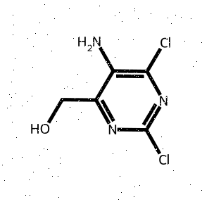 Nc1c(Cl)nc(Cl)nc1CO